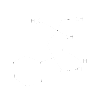 CCC(C)(C)O[Si](OC)(OC)C1CCCCC1